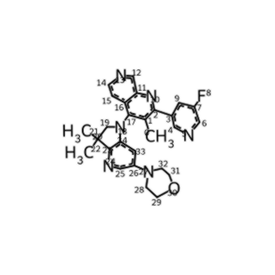 Cc1c(-c2cncc(F)c2)nc2cnccc2c1N1CC(C)(C)c2ncc(N3CCOCC3)cc21